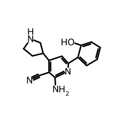 N#Cc1c(C2CCNC2)cc(-c2ccccc2O)nc1N